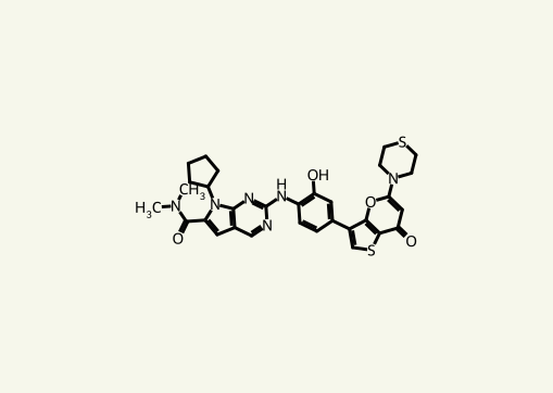 CN(C)C(=O)c1cc2cnc(Nc3ccc(-c4csc5c(=O)cc(N6CCSCC6)oc45)cc3O)nc2n1C1CCCC1